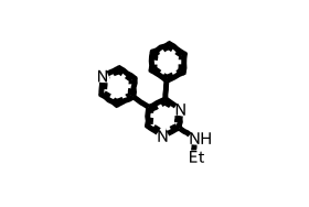 CCNc1ncc(-c2ccncc2)c(-c2ccccc2)n1